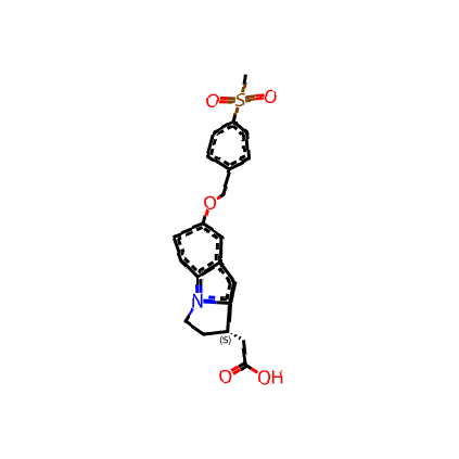 CS(=O)(=O)c1ccc(COc2ccc3c(c2)cc2n3CC[C@H]2CC(=O)O)cc1